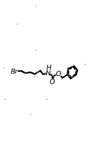 O=C(NCCCCCCBr)OCc1ccccc1